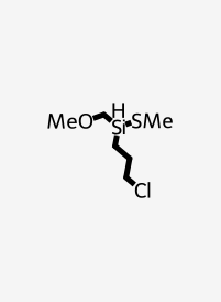 COC[SiH](CCCCl)SC